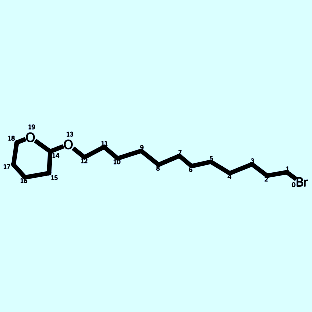 BrCCCCCCCCCCCCOC1CCCCO1